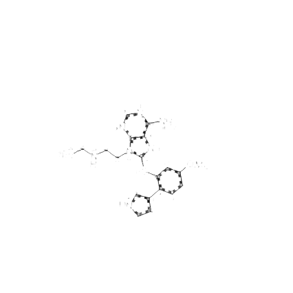 COc1ccc(-c2cc[nH]c2)c(Sc2nc3c(N)ncnc3n2CCNCC(C)(C)C)c1